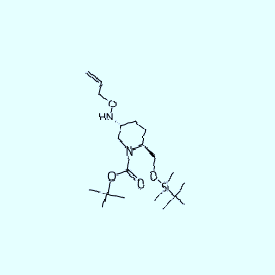 C=CCON[C@@H]1CC[C@@H](CO[Si](C)(C)C(C)(C)C)N(C(=O)OC(C)(C)C)C1